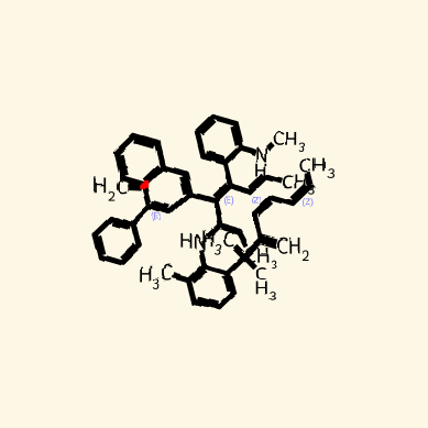 C=C/C(=C\C(=Cc1ccccc1)/C(=C(/C=CC)c1ccccc1NC)C(CC)Nc1c(C)cccc1C(C)(C)C(=C)/C=C\C=C/C)c1ccccc1